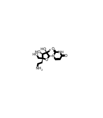 NCC[C@]1(CO)O[C@@H](n2ccc(=O)[nH]c2=O)[C@@](O)(F)[C@@H]1O